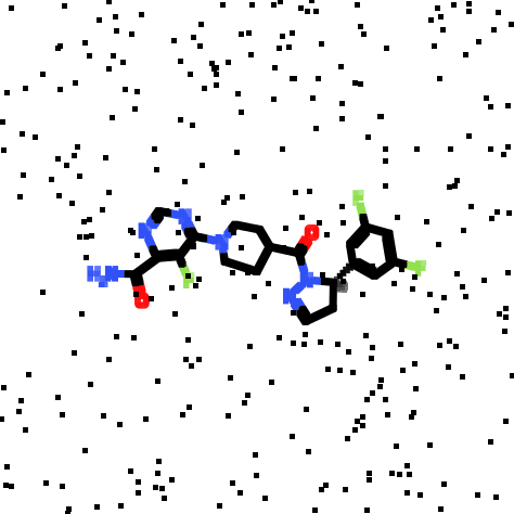 NC(=O)c1ncnc(N2CCC(C(=O)N3N=CC[C@H]3c3cc(F)cc(F)c3)CC2)c1F